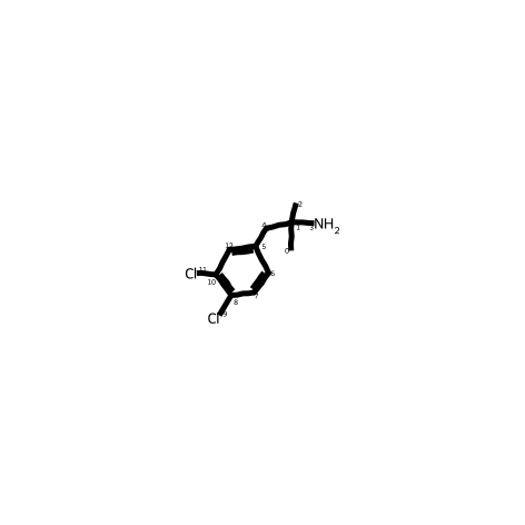 CC(C)(N)Cc1ccc(Cl)c(Cl)c1